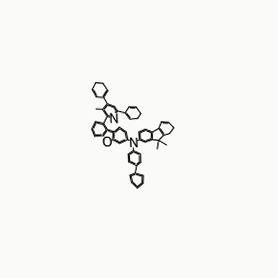 Cc1c(C2=CCCC=C2)cc(C2=CCCC=C2)nc1-c1cccc2oc3cc(N(c4ccc(-c5ccccc5)cc4)c4ccc5c(c4)C(C)(C)C4=C5C=CCC4)ccc3c12